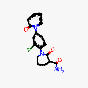 NC(=O)C1CCCN(c2ccc(-n3ccccc3=O)cc2F)C1=O